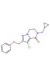 O=C1c2c(Cl)c(COc3ccccc3)nn2CCN1CC1CC1